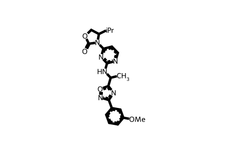 COc1cccc(-c2noc(C(C)Nc3nccc(N4C(=O)OCC4C(C)C)n3)n2)c1